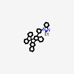 CCc1nc2ccccc2n1-c1cccc(-c2cc3c(c4ccccc24)-c2cc4ccccc4cc2C32c3ccccc3-c3ccccc32)c1